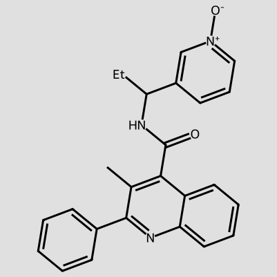 CCC(NC(=O)c1c(C)c(-c2ccccc2)nc2ccccc12)c1ccc[n+]([O-])c1